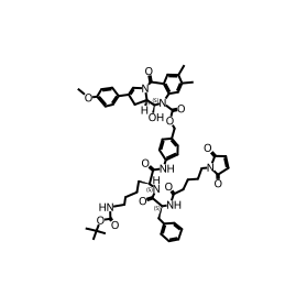 COc1ccc(C2=CN3C(=O)c4cc(C)c(C)cc4N(C(=O)OCc4ccc(NC(=O)[C@H](CCCCNC(=O)OC(C)(C)C)NC(=O)[C@H](Cc5ccccc5)NC(=O)CCCCN5C(=O)C=CC5=O)cc4)[C@@H](O)[C@@H]3C2)cc1